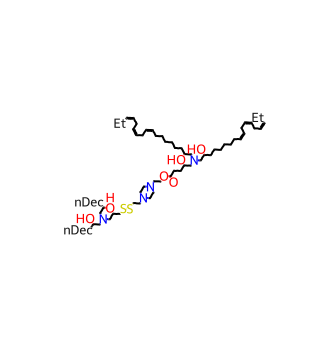 CC/C=C\C/C=C\C/C=C\CCCCCCC(O)CN(CCCCC(=O)OCCN1CCN(CCSSCCCN(CC(O)CCCCCCCCCC)CC(O)CCCCCCCCCC)CC1)CC(O)CCCCCC/C=C\C/C=C\C/C=C\CC